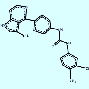 Cc1ccc(NC(=O)Nc2ccc(-c3nccc4[nH]nc(N)c34)cc2)cc1Cl